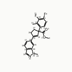 COC(=O)C1(c2ccc(F)c(F)c2C)C=C(c2ccc3cnn(C)c3c2)CC1